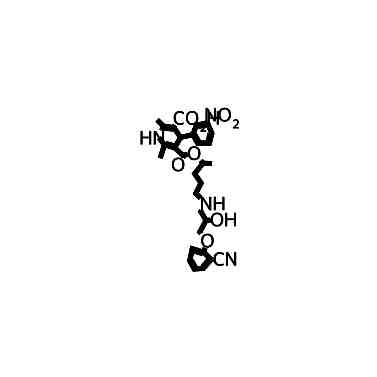 CC1=C(C(=O)O)C(c2cccc([N+](=O)[O-])c2)C(C(=O)OC(C)CCCNCC(O)COc2ccccc2C#N)=C(C)N1